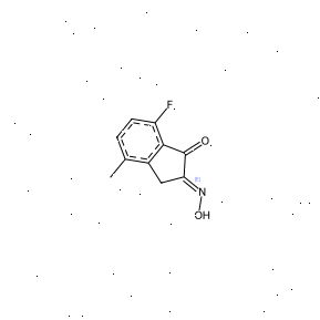 Cc1ccc(F)c2c1C/C(=N\O)C2=O